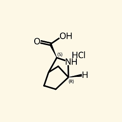 Cl.O=C(O)[C@H]1N[C@@H]2CCC1C2